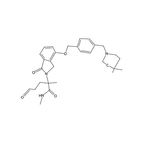 CNC(=O)C(C)(CCC=O)N1Cc2c(OCc3ccc(CN4CCC(C)(C)CC4)cc3)cccc2C1=O